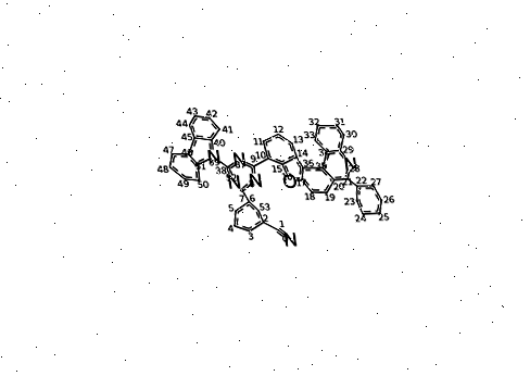 N#Cc1cccc(-c2nc(-c3cccc4c3oc3ccc5c(-c6ccccc6)nc6ccccc6c5c34)nc(-n3c4ccccc4c4ccccc43)n2)c1